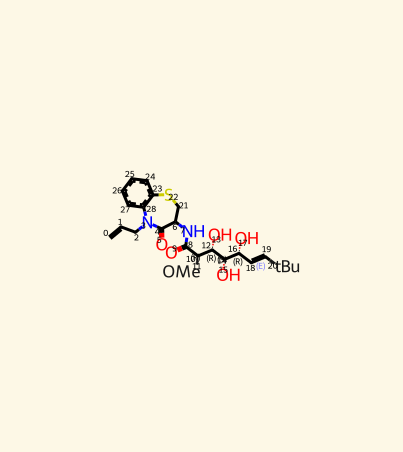 C=CCN1C(=O)C(NC(=O)[C@H](OC)[C@H](O)[C@@H](O)[C@H](O)/C=C/C(C)(C)C)CSc2ccccc21